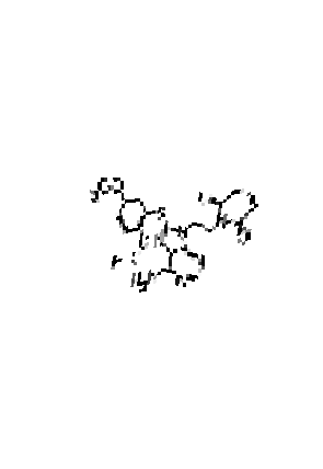 COc1ccc(OC)c(Sc2nc3c(N)ncnc3n2CCN2C(=O)CCCC2=O)c1